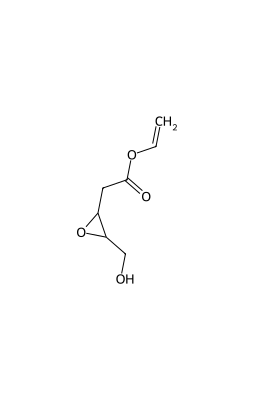 C=COC(=O)CC1OC1CO